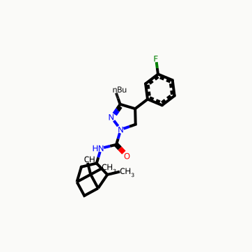 CCCCC1=NN(C(=O)NC2CC3CC(C2C)C3(C)C)CC1c1cccc(F)c1